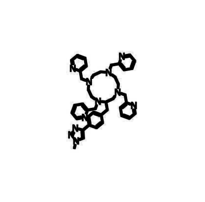 Cn1cc(-c2ccc(CC3CN(Cc4ccccn4)CCN(Cc4ccccn4)CCN(Cc4ccccn4)CCN3Cc3ccccn3)cc2)nn1